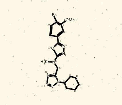 COc1cc(-c2nnc(N(C)Cc3nnnn3C3CCCCC3)o2)ccc1F